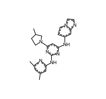 Cc1cc(C)nc(Nc2nc(Nc3ccn4ccnc4c3)cc(N3CCC(C)C3)n2)c1